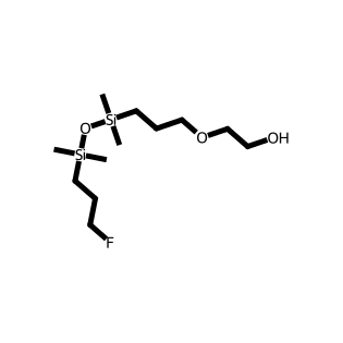 C[Si](C)(CCCF)O[Si](C)(C)CCCOCCO